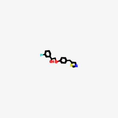 OC(COc1ccc(Cc2cncs2)cc1)c1cccc(F)c1